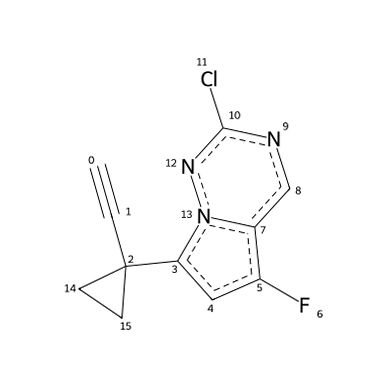 C#CC1(c2cc(F)c3cnc(Cl)nn23)CC1